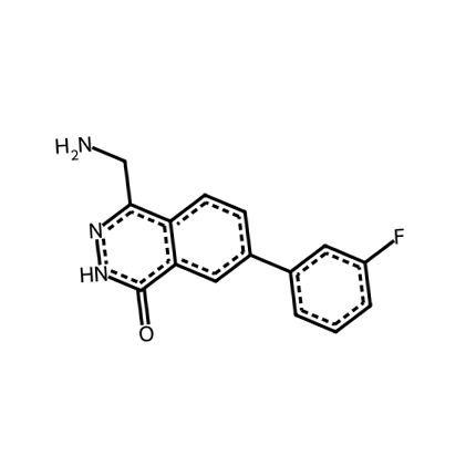 NCc1n[nH]c(=O)c2cc(-c3cccc(F)c3)ccc12